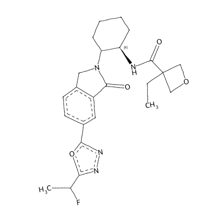 CCC1(C(=O)N[C@@H]2CCCCC2N2Cc3ccc(-c4nnc(C(C)F)o4)cc3C2=O)COC1